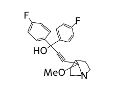 COC1(C#CC(O)(c2ccc(F)cc2)c2ccc(F)cc2)CN2CCC1CC2